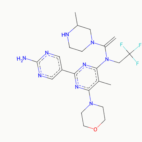 C=C(N1CCNC(C)C1)N(CC(F)(F)F)c1nc(-c2cnc(N)nc2)nc(N2CCOCC2)c1C